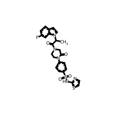 CC(C(=O)N1CCN(c2ccc(S(=O)(=O)Nc3nccs3)cc2)C(=O)C1)n1ccc2ccc(F)cc21